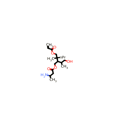 C=CC(=O)OCC(C)(CCC)C(COC(=O)CC(C)N)C(C)CO